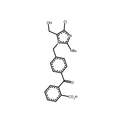 CCCCc1nc(Cl)c(CO)n1Cc1ccc(C(=O)c2ccccc2C(=O)O)cc1